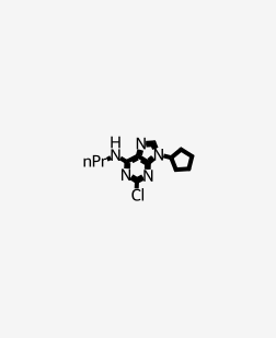 CCCNc1nc(Cl)nc2c1ncn2C1CCCC1